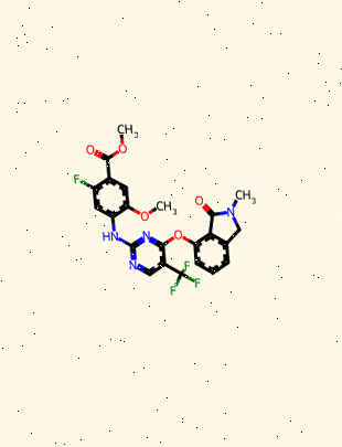 COC(=O)c1cc(OC)c(Nc2ncc(C(F)(F)F)c(Oc3cccc4c3C(=O)N(C)C4)n2)cc1F